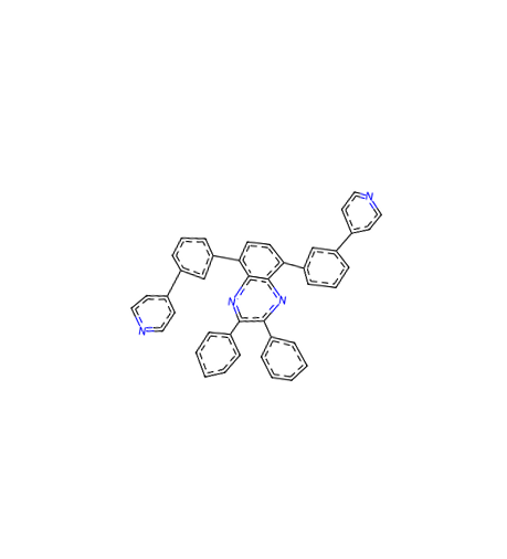 c1ccc(-c2nc3c(-c4cccc(-c5ccncc5)c4)ccc(-c4cccc(-c5ccncc5)c4)c3nc2-c2ccccc2)cc1